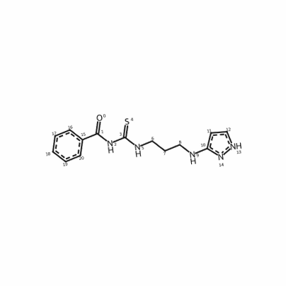 O=C(NC(=S)NCCCNc1cc[nH]n1)c1ccccc1